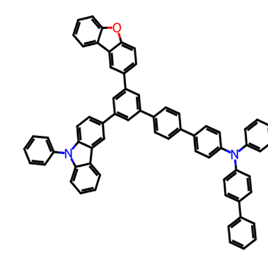 c1ccc(-c2ccc(N(c3ccccc3)c3ccc(-c4ccc(-c5cc(-c6ccc7oc8ccccc8c7c6)cc(-c6ccc7c(c6)c6ccccc6n7-c6ccccc6)c5)cc4)cc3)cc2)cc1